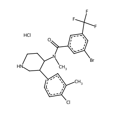 Cc1cc(C2CNCCC2N(C)C(=O)c2cc(Br)cc(C(F)(F)F)c2)ccc1Cl.Cl